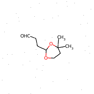 CC1(C)CCOC(CCC=O)O1